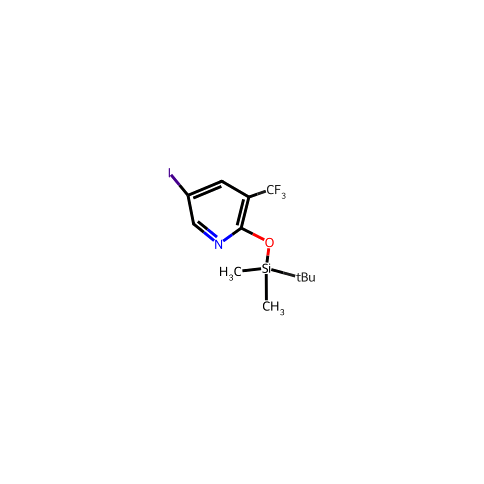 CC(C)(C)[Si](C)(C)Oc1ncc(I)cc1C(F)(F)F